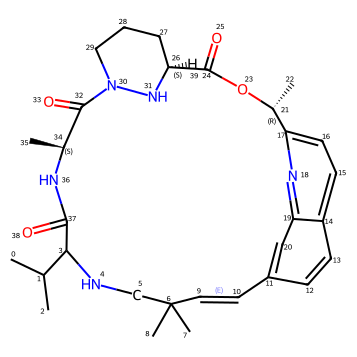 CC(C)C1NCC(C)(C)/C=C/c2ccc3ccc(nc3c2)[C@@H](C)OC(=O)[C@@H]2CCCN(N2)C(=O)[C@H](C)NC1=O